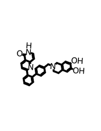 O=c1[nH]ccc2nc(-c3ccccc3-c3ccc(CN4CCc5cc(O)c(O)cc5C4)cc3)ccc12